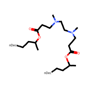 CCCCCCCCCCCCC(C)OC(=O)CCN(C)CCN(C)CCC(=O)OC(C)CCCCCCCCCCCC